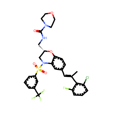 C/C(=C\c1ccc2c(c1)N(S(=O)(=O)c1cccc(C(F)(F)F)c1)C[C@H](CNC(=O)N1CCOCC1)O2)c1c(F)cccc1Cl